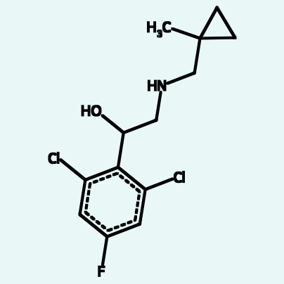 CC1(CNCC(O)c2c(Cl)cc(F)cc2Cl)CC1